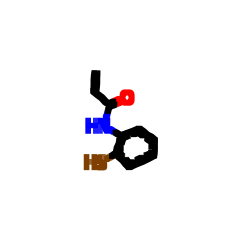 C=CC(=O)Nc1ccccc1S